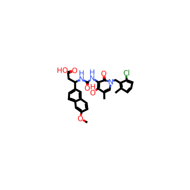 COc1ccc2cc(C(CC(=O)O)NC(=O)Nc3c(O)c(C)cn(Cc4c(C)cccc4Cl)c3=O)ccc2c1